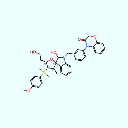 COc1ccc(S(C)(C)[C@@H]2[C@@H](CCO)O[C@@]3(c4ccccc4N(Cc4cccc(N5C(=O)COc6ccccc65)c4)C3O)[C@H]2C)cc1